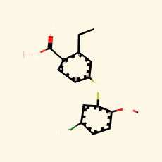 CCc1cc(Sc2cc(Cl)ccc2OC)ccc1C(=O)O